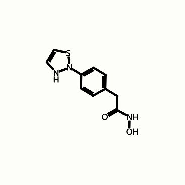 O=C(Cc1ccc(N2NC=CS2)cc1)NO